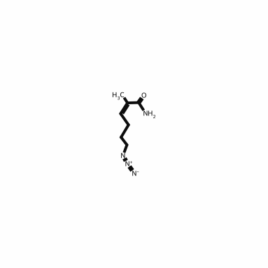 CC(=CCCCN=[N+]=[N-])C(N)=O